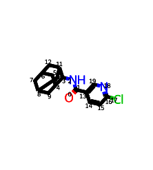 O=C(NC1C2CC3CC(C2)CC1C3)c1ccc(Cl)nc1